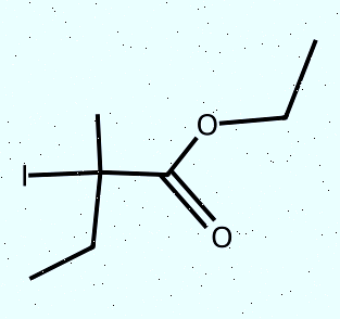 CCOC(=O)C(C)(I)CC